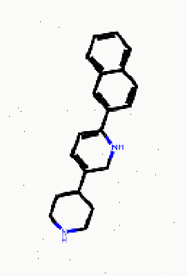 C1=C(c2ccc3ccccc3c2)NCC(C2CCNCC2)=C1